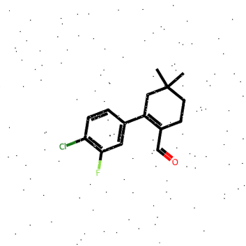 CC1(C)CCC(C=O)=C(c2ccc(Cl)c(F)c2)C1